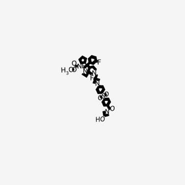 COC(=O)N[C@H]1CCC[C@@H]1C(CN1CCC1)(c1cccc(F)c1)C1CCN(CC2(F)CN(c3ccc(S(=O)(=O)c4ccc(C(=O)N5CC(O)C5)cc4)cc3)C2)CC1